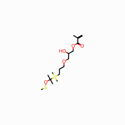 C=C(C)C(=O)OCC(O)COCCCS(C)(C)C(C)(C)OSC